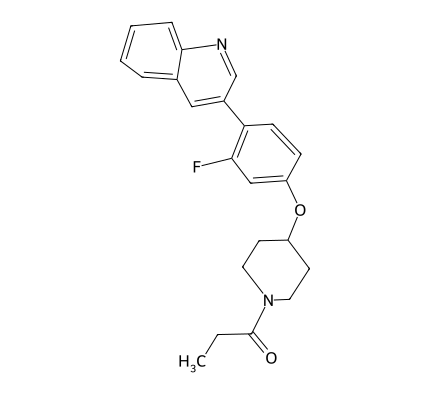 CCC(=O)N1CCC(Oc2ccc(-c3cnc4ccccc4c3)c(F)c2)CC1